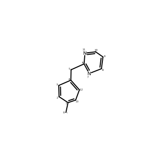 [CH2]c1ccc(Cc2ncccn2)cc1